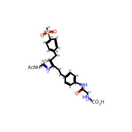 CC(=O)Nc1nc(CCc2ccc(NC(=O)CNC(=O)O)cc2)c(Cc2ccc(S(C)(=O)=O)cc2)s1